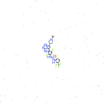 Nc1ncnn2c(C3CCN(C4CC4)CC3)cc(-c3cc(F)c(NC(=O)Nc4cc(C(F)(F)F)ccc4F)cc3F)c12